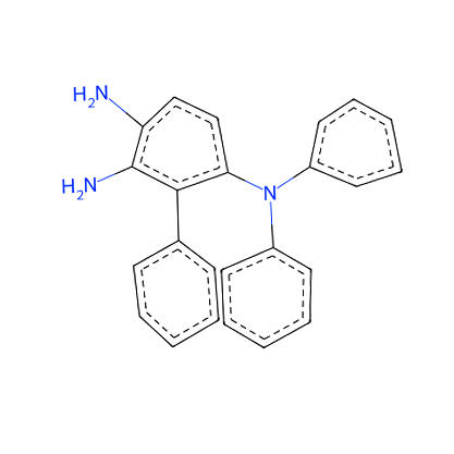 Nc1ccc(N(c2ccccc2)c2ccccc2)c(-c2ccccc2)c1N